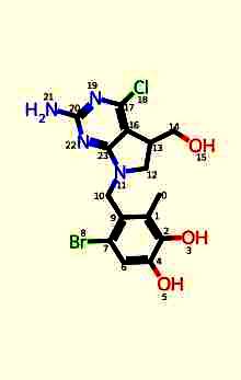 Cc1c(O)c(O)cc(Br)c1CN1CC(CO)c2c(Cl)nc(N)nc21